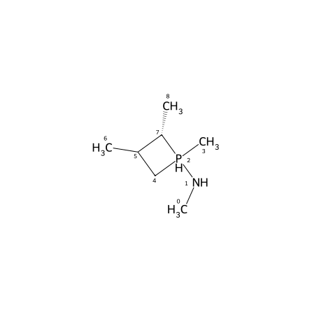 CN[PH]1(C)CC(C)[C@@H]1C